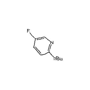 CCCCc1ccc(F)cn1